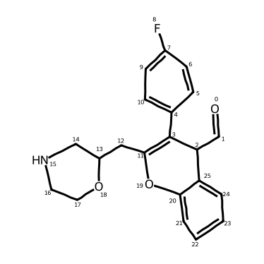 O=CC1C(c2ccc(F)cc2)=C(CC2CNCCO2)Oc2ccccc21